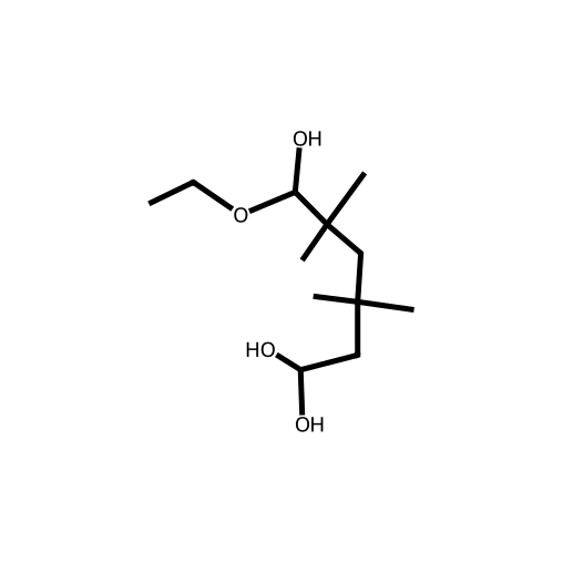 CCOC(O)C(C)(C)CC(C)(C)CC(O)O